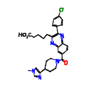 Cn1cnc(C2CCN(C(=O)c3ccc4nc(-c5ccc(Cl)cc5)c(CCCCC(=O)O)nc4c3)CC2)c1